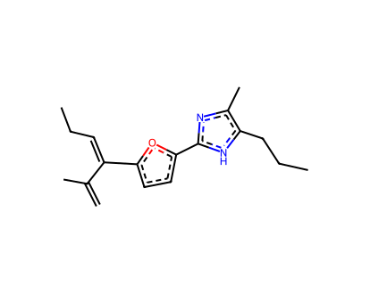 C=C(C)/C(=C\CC)c1ccc(-c2nc(C)c(CCC)[nH]2)o1